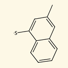 Cc1cc([S])c2ccccc2c1